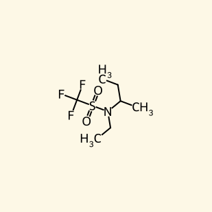 CCC(C)N(CC)S(=O)(=O)C(F)(F)F